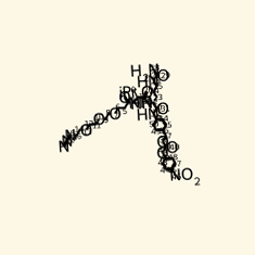 CC(C)[C@H](NC(=O)CCOCCOCCOCCN=[N+]=[N-])C(=O)N[C@@H](CCCNC(N)=O)C(=O)Nc1ccc(COC(=O)Oc2ccc([N+](=O)[O-])cc2)cc1